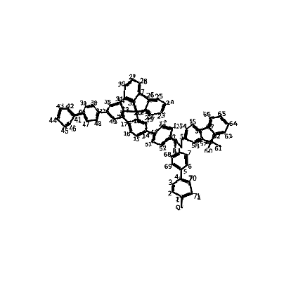 Cc1ccc(-c2ccc(N(c3ccc(-c4ccc5c(c4)C4(c6ccccc6-c6ccccc64)c4ccc(-c6ccc(-c7ccccc7)cc6)cc4-5)cc3)c3ccc4c(c3)C(C)(C)c3ccccc3-4)cc2)cc1